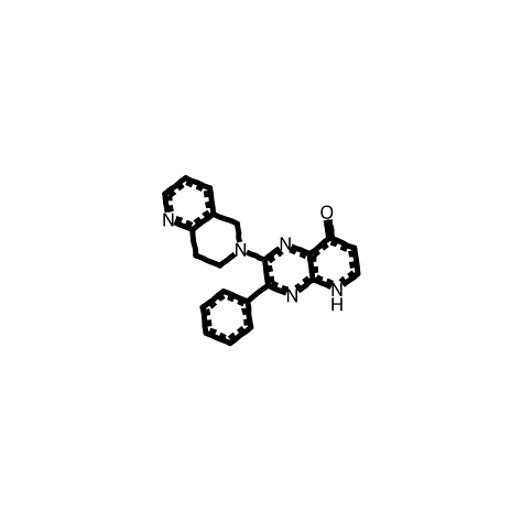 O=c1cc[nH]c2nc(-c3ccccc3)c(N3CCc4ncccc4C3)nc12